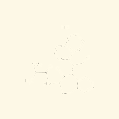 CNC(C)C(=O)NC1CCc2ccccc2N(C(CCl)c2cccc3ccccc23)C1=O.Cl